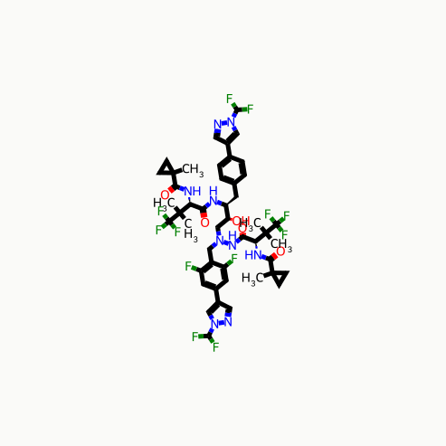 CC1(C(=O)N[C@H](C(=O)N[C@@H](Cc2ccc(-c3cnn(C(F)F)c3)cc2)[C@@H](O)CN(Cc2c(F)cc(-c3cnn(C(F)F)c3)cc2F)NC(=O)[C@@H](NC(=O)C2(C)CC2)C(C)(C)C(F)(F)F)C(C)(C)C(F)(F)F)CC1